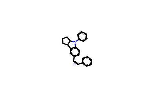 C(=C/c1ccc2c(c1)C1CCCC1N2c1ccccc1)/c1ccccc1